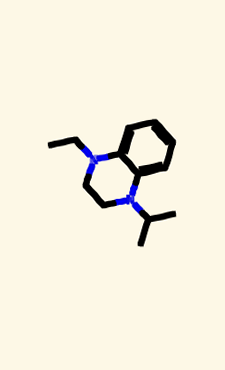 CCN1CCN(C(C)C)c2ccccc21